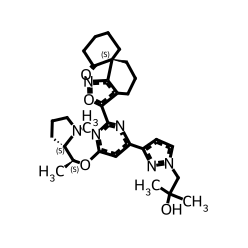 C[C@H](Oc1cc(-c2ccn(CC(C)(C)O)n2)nc(-c2onc3c2CCC[C@@]32CCCCC2=O)n1)[C@@H]1CCCN1C